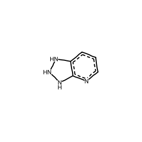 c1cnc2c(c1)NNN2